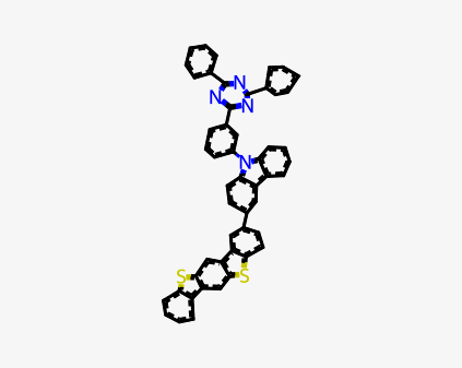 c1ccc(-c2nc(-c3ccccc3)nc(-c3cccc(-n4c5ccccc5c5cc(-c6ccc7sc8cc9c(cc8c7c6)sc6ccccc69)ccc54)c3)n2)cc1